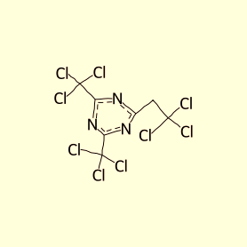 ClC(Cl)(Cl)Cc1nc(C(Cl)(Cl)Cl)nc(C(Cl)(Cl)Cl)n1